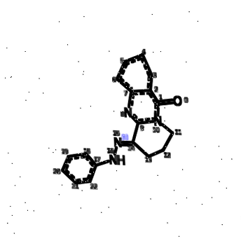 O=c1c2ccccc2nc2n1CCC/C2=N\Nc1ccccc1